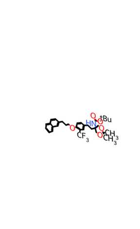 CC(C)(C)OC(=O)NC1(CCc2ccc(OCCCc3ccc4ccccc4c3)c(C(F)(F)F)c2)COC(C)(C)OC1